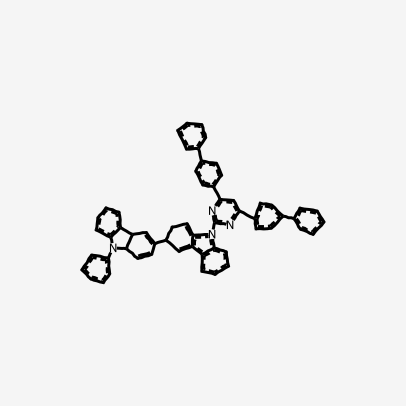 C1=CC2C(C=C1C1C=c3c(n(-c4nc(-c5ccc(-c6ccccc6)cc5)cc(-c5ccc(-c6ccccc6)cc5)n4)c4ccccc34)=CC1)c1ccccc1N2c1ccccc1